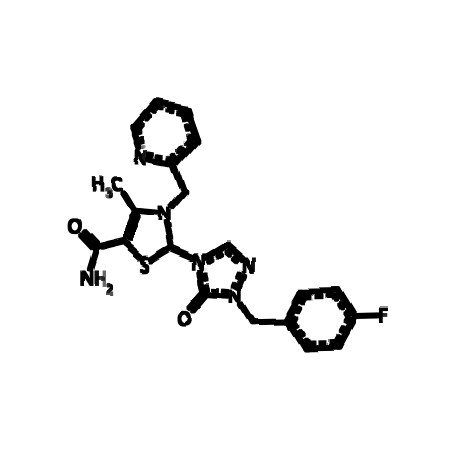 CC1=C(C(N)=O)SC(n2cnn(Cc3ccc(F)cc3)c2=O)N1Cc1ccccn1